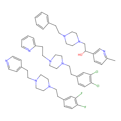 Cc1ccc(C(O)CN2CCN(CCc3ccccc3)CC2)cn1.Clc1ccc(CCN2CCN(CCc3ccccn3)CC2)cc1Cl.Fc1ccc(CCN2CCN(CCc3ccncc3)CC2)cc1F